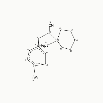 CCCCCCCC1(C(C#N)Cc2ccc(CCC)cc2)CCCCC1